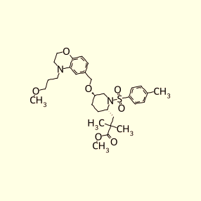 COCCCN1CCOc2ccc(CO[C@@H]3CC[C@@H](CC(C)(C)C(=O)OC)N(S(=O)(=O)c4ccc(C)cc4)C3)cc21